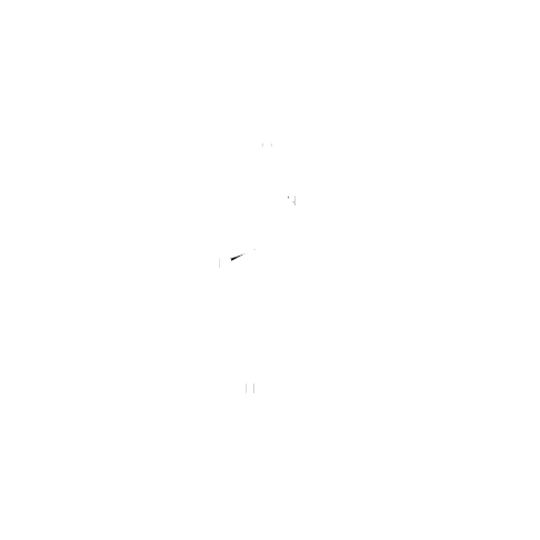 Cc1ccc2c(c1)CC[C@@H]1NC(=O)CC[C@@H]21